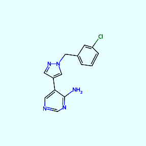 Nc1ncncc1-c1cnn(Cc2cccc(Cl)c2)c1